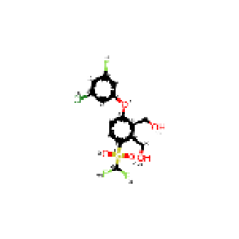 O=S(=O)(c1ccc(Oc2cc(F)cc(Cl)c2)c(CO)c1CO)C(F)F